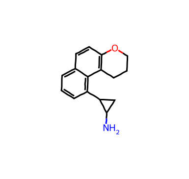 NC1CC1c1cccc2ccc3c(c12)CCCO3